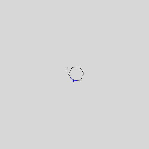 C1CC[N-]CC1.[Li+]